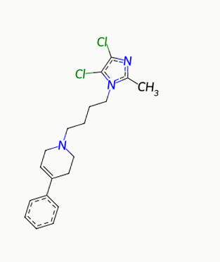 Cc1nc(Cl)c(Cl)n1CCCCN1CC=C(c2ccccc2)CC1